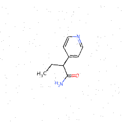 CCC(C(N)=O)c1ccncc1